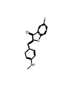 CNC1=CCC(/C=C2\Oc3ccc(I)cc3C2=O)C=C1